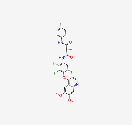 COc1cc2nccc(Oc3c(F)cc(NC(=O)C(C)(C)C(=O)Nc4ccc(C)cc4)c(F)c3F)c2cc1OC